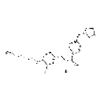 CCCCCCCCCCCCCCOc1ccc(CCN(C(C)=O)c2ccc(C[n+]3ccsc3)cc2)cc1F.[Br-]